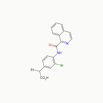 CCC(C(=O)O)c1ccc(NC(=O)c2nccc3ccccc23)c(Br)c1